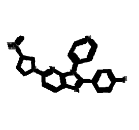 CN[C@@H]1CCN(c2ccc3nc(-c4ccc(F)cc4)n(-c4ccncc4)c3n2)C1